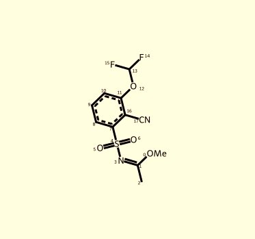 CO/C(C)=N\S(=O)(=O)c1cccc(OC(F)F)c1C#N